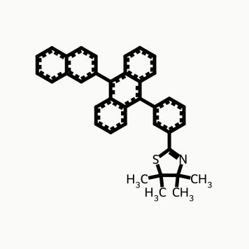 CC1(C)N=C(c2cccc(-c3c4ccccc4c(-c4ccc5ccccc5c4)c4ccccc34)c2)SC1(C)C